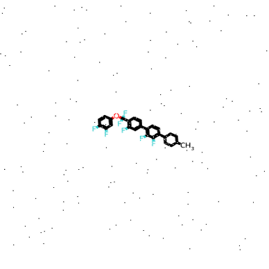 CC1CCC(c2ccc(-c3ccc(C(F)(F)Oc4ccc(F)c(F)c4)c(F)c3)c(F)c2F)CC1